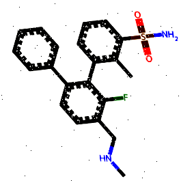 CNCc1ccc(-c2ccccc2)c(-c2cccc(S(N)(=O)=O)c2C)c1F